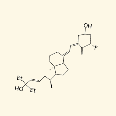 C=C1/C(=C\C=C2/CCC[C@@]3(C)C2CCC3[C@@H](C)C/C=C/C(O)(CC)CC)CC(O)C[C@@H]1F